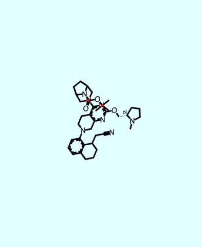 CN1CCC[C@H]1COc1nc2c(c(N3CC4CCC(C3)N4C(=O)OC(C)(C)C)n1)CCN(c1cccc3c1C(CC#N)CCC3)C2